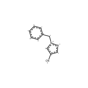 [C-]#[N+]c1cnn(Cc2ccccc2)c1